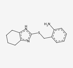 Nc1ccccc1CSc1nc2c([nH]1)CCCC2